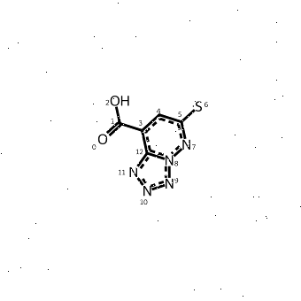 O=C(O)c1cc([S])nn2nnnc12